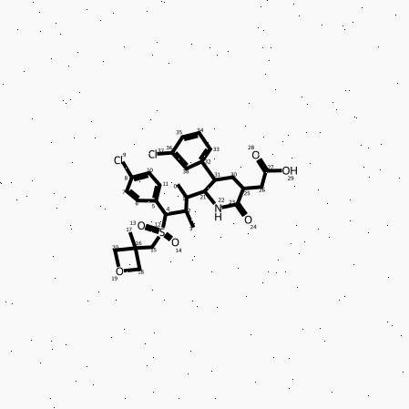 CC(C(C)C(c1ccc(Cl)cc1)S(=O)(=O)CC1(C)COC1)C1NC(=O)C(CC(=O)O)CC1c1cccc(Cl)c1